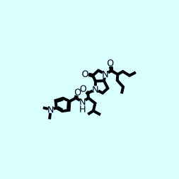 CCCC(CCC)C(=O)N1CC(=O)C2C1CCN2C(=O)C(CC(C)C)NC(=O)c1ccc(N(C)C)cc1